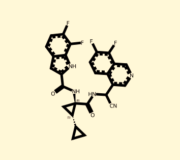 N#CC(NC(=O)[C@@]1(NC(=O)c2cc3ccc(F)c(F)c3[nH]2)C[C@H]1C1CC1)c1cncc2c(F)c(F)ccc12